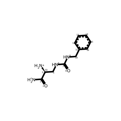 NC(=O)[C@@H](N)CNC(=O)NCc1ccccc1